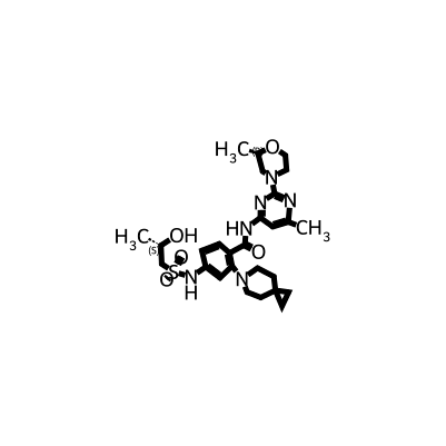 Cc1cc(NC(=O)c2ccc(NS(=O)(=O)C[C@H](C)O)cc2N2CCC3(CC2)CC3)nc(N2CCO[C@H](C)C2)n1